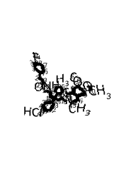 COc1cc2c(cc1OC)C(C)N(CCCC(CCCNC(=O)CCc1ccc(F)cc1)(c1ccccc1)c1ccccc1)C(C)C2.Cl